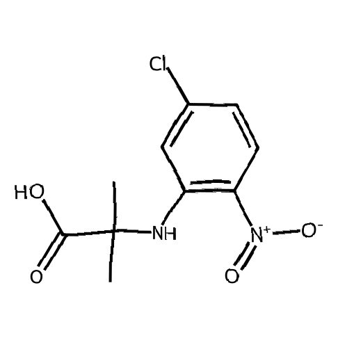 CC(C)(Nc1cc(Cl)ccc1[N+](=O)[O-])C(=O)O